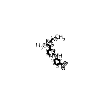 COCc1nc(C)c(-c2ccnc(Nc3cccc([N+](=O)[O-])c3)n2)s1